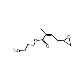 CC(=CCC1CO1)C(=O)OCCCO